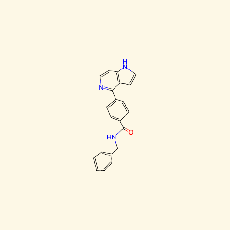 O=C(NCc1ccccc1)c1ccc(-c2nccc3[nH]ccc23)cc1